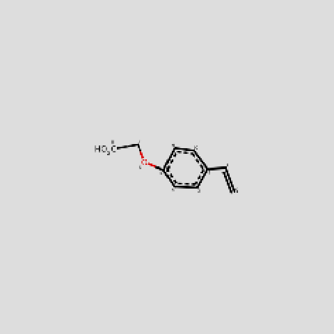 [CH]=Cc1ccc(OCC(=O)O)cc1